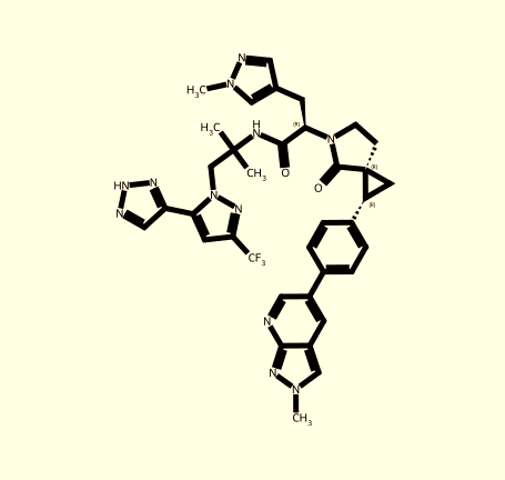 Cn1cc(C[C@H](C(=O)NC(C)(C)Cn2nc(C(F)(F)F)cc2-c2cn[nH]n2)N2CC[C@@]3(C[C@@H]3c3ccc(-c4cnc5nn(C)cc5c4)cc3)C2=O)cn1